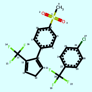 CS(=O)(=O)c1ccc(C2=CCC=C2C(F)(F)F)cc1.FC(F)(F)c1ccc(Cl)cc1